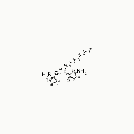 CCCCCCCCCCCCCCOc1ccccc1N.Cc1ccc(N)cc1